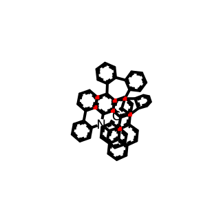 c1ccc(-c2ccccc2N(c2ccc3c(c2)C2(c4ccccc4-c4ccccc4-3)c3ccccc3-c3c2cc2ccc4cccc5ccc3c2c45)c2ccccc2-c2ccccc2)cc1